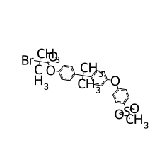 CC(C)(Br)C(=O)Oc1ccc(C(C)(C)c2ccc(Oc3ccc(S(C)(=O)=O)cc3)cc2)cc1